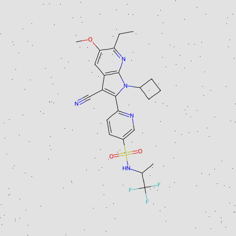 CCc1nc2c(cc1OC)c(C#N)c(-c1ccc(S(=O)(=O)NC(C)C(F)(F)F)cn1)n2C1CCC1